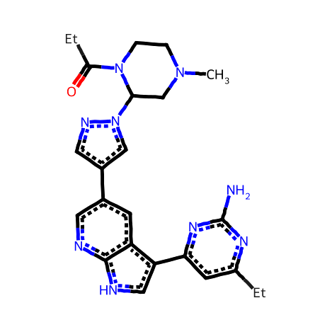 CCC(=O)N1CCN(C)CC1n1cc(-c2cnc3[nH]cc(-c4cc(CC)nc(N)n4)c3c2)cn1